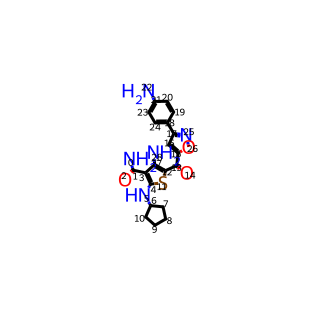 NC(=O)c1c(NC2CCCC2)sc(C(=O)c2cc(-c3ccc(N)cc3)no2)c1N